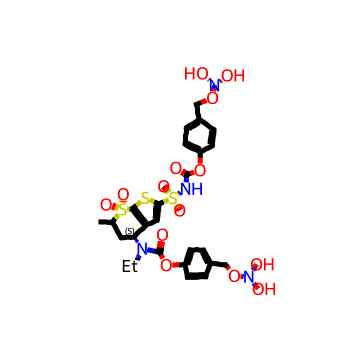 CCN(C(=O)Oc1ccc(CON(O)O)cc1)[C@H]1CC(C)S(=O)(=O)c2sc(S(=O)(=O)NC(=O)Oc3ccc(CON(O)O)cc3)cc21